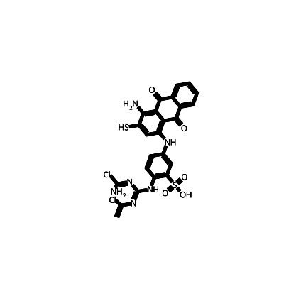 C=C(Cl)/N=C(\N=C(/N)Cl)Nc1ccc(Nc2cc(S)c(N)c3c2C(=O)c2ccccc2C3=O)cc1S(=O)(=O)O